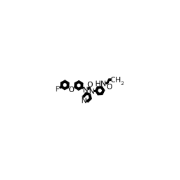 C=CC(=O)Nc1cccc(-n2c(=O)n(-c3cccc(Oc4cccc(F)c4)c3)c3cnccc32)c1